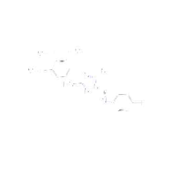 COc1cc(Nc2nc(N)n(-c3nc4ccc(F)cc4s3)n2)cc(OC)c1OC